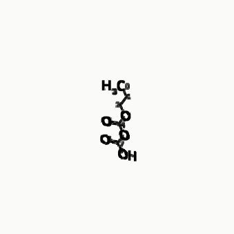 CCCOC(=O)OC(=O)O